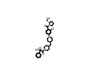 O=C(c1ccc(N2CCC(CC3CCN(C(=O)C(O)(c4ccccc4)C(F)(F)F)CC3)CC2)cc1Cl)N1CCC[C@H]1CO